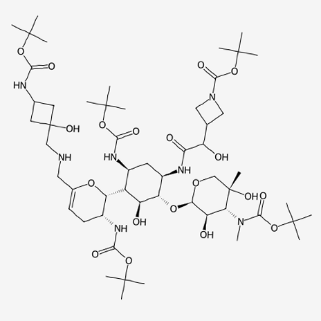 CN(C(=O)OC(C)(C)C)[C@@H]1[C@@H](O)[C@@H](O[C@H]2[C@H](NC(=O)C(O)C3CN(C(=O)OC(C)(C)C)C3)C[C@H](NC(=O)OC(C)(C)C)C([C@H]3OC(CNCC4(O)CC(NC(=O)OC(C)(C)C)C4)=CC[C@H]3NC(=O)OC(C)(C)C)[C@@H]2O)OC[C@]1(C)O